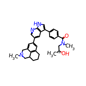 C[C@H](O)CN(C)C(=O)c1ccc(-c2c[nH]c3ncc(-c4cc5c6c(c4)CN(C)CC6CCC5)cc23)cc1